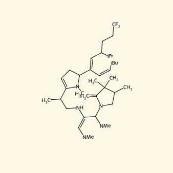 C=C1N(C(NC)/C(=C\NC)NCC(C)C2=CCC(C(/C=C\C(C)CC)=C/C(CCC(F)(F)F)C(C)C)N2C)CC(C)C1(C)C